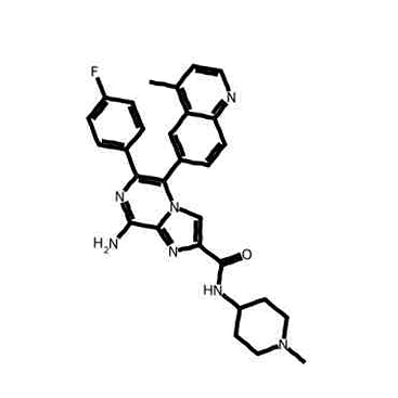 Cc1ccnc2ccc(-c3c(-c4ccc(F)cc4)nc(N)c4nc(C(=O)NC5CCN(C)CC5)cn34)cc12